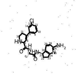 C[C@H](NC(=O)C1C=C(c2cccc(Cl)c2)CCN1)C(=O)N[C@@H]1CCc2nc(N)ccc21